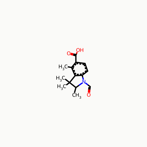 Cc1c(C(=O)O)ccc2c1C(C)(C)C(C)N2C=O